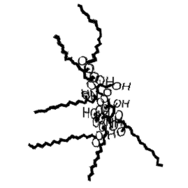 CCCCCCCCCCCCCCCC(=O)OC(CCCCCCCCCCC)CC(=O)NC1C(OP(=O)(O)O)OC(CO[C@@H]2OC(CO)[C@@H](O)[C@H](OC(=O)CC(CCCCCCCCCCC)OC(=O)CCCCCCCCCCCCCCC)C2NC(=O)CC(O)CCCCCCCCCCC)[C@@H](O)[C@@H]1OC(=O)CC(O)CCCCCCCCCCC